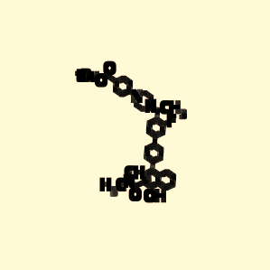 CC(c1ccc(-c2ccc(-c3cc(C(=O)N(C)C)c(O)c4ccccc34)cc2)cc1F)N1CCN(c2ccc(C(=O)OC(C)(C)C)cc2)CC1